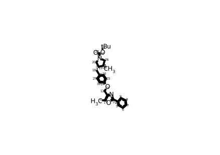 Cc1oc(-c2ccccc2)nc1COc1ccc(C[C@@H]2CN(C(=O)OC(C)(C)C)C[C@@H]2C)cc1